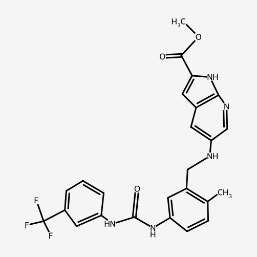 COC(=O)c1cc2cc(NCc3cc(NC(=O)Nc4cccc(C(F)(F)F)c4)ccc3C)cnc2[nH]1